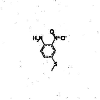 CSc1ccc(N)c([N+](=O)[O-])c1